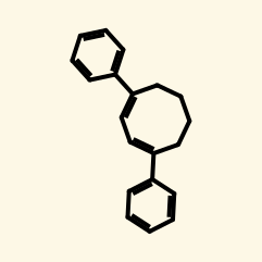 C1=C(c2ccccc2)CCCCC(c2ccccc2)=C1